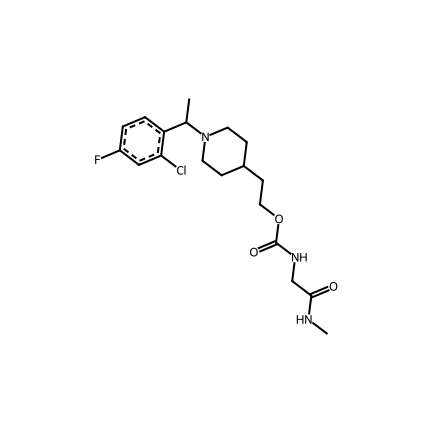 CNC(=O)CNC(=O)OCCC1CCN(C(C)c2ccc(F)cc2Cl)CC1